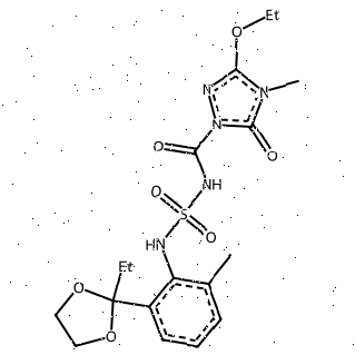 CCOc1nn(C(=O)NS(=O)(=O)Nc2c(C)cccc2C2(CC)OCCO2)c(=O)n1C